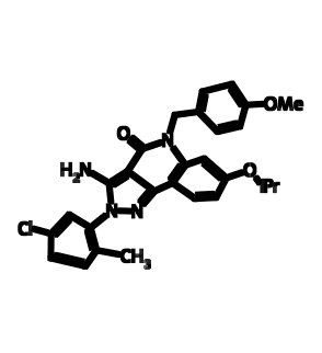 COc1ccc(Cn2c(=O)c3c(N)n(-c4cc(Cl)ccc4C)nc3c3ccc(OC(C)C)cc32)cc1